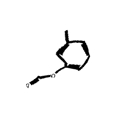 Cc1cccc(OC=O)c1